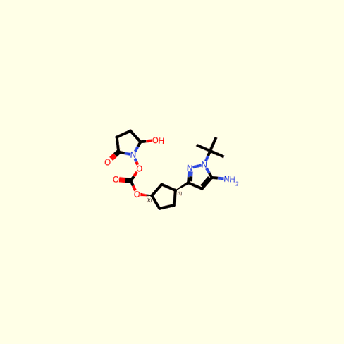 CC(C)(C)n1nc([C@H]2CC[C@@H](OC(=O)ON3C(=O)CCC3O)C2)cc1N